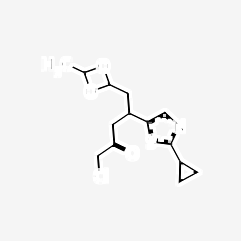 CC1OC(CC(CC(=O)CCl)c2cnc(C3CC3)s2)O1